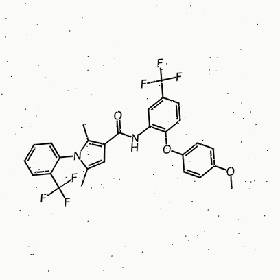 COc1ccc(Oc2ccc(C(F)(F)F)cc2NC(=O)c2cc(C)n(-c3ccccc3C(F)(F)F)c2C)cc1